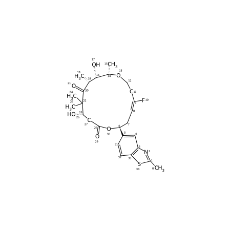 Cc1nc2cc([C@@H]3C/C=C(/F)CCO[C@@H](C)[C@@H](O)[C@@H](C)C(=O)C(C)(C)[C@@H](O)CC(=O)O3)ccc2s1